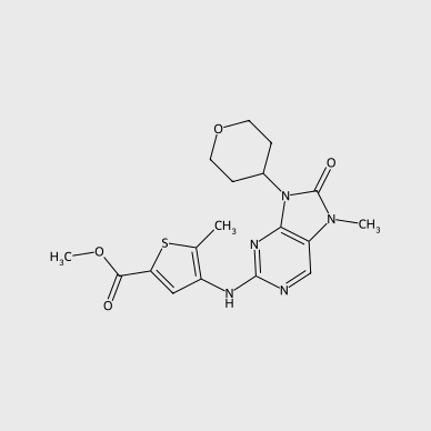 COC(=O)c1cc(Nc2ncc3c(n2)n(C2CCOCC2)c(=O)n3C)c(C)s1